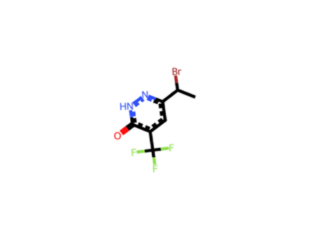 CC(Br)c1cc(C(F)(F)F)c(=O)[nH]n1